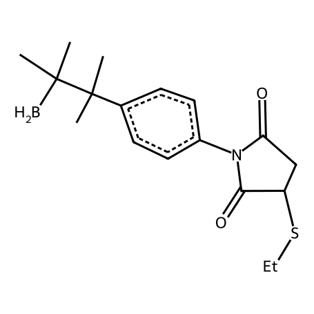 BC(C)(C)C(C)(C)c1ccc(N2C(=O)CC(SCC)C2=O)cc1